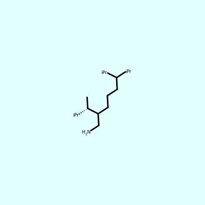 CC(C)C(CCCC(CN)[C@@H](C)C(C)C)C(C)C